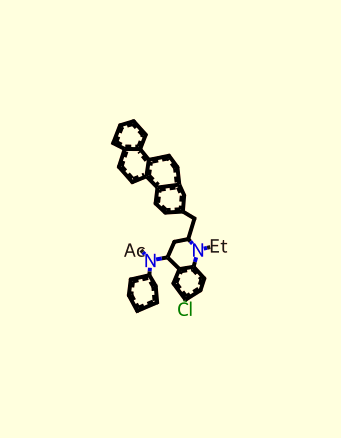 CCN1c2ccc(Cl)cc2C(N(C(C)=O)c2ccccc2)CC1Cc1ccc2c(ccc3c4ccccc4ccc23)c1